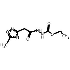 CCOC(=O)NNC(=O)Cc1noc(C)n1